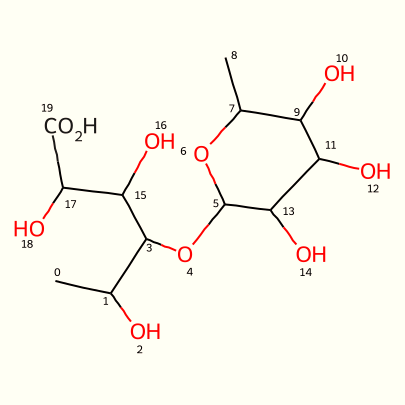 CC(O)C(OC1OC(C)C(O)C(O)C1O)C(O)C(O)C(=O)O